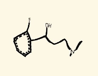 CN(C)CCC(O)c1ccccc1F